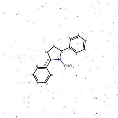 O=CN1C(c2ccccc2)CCC1c1ccccc1